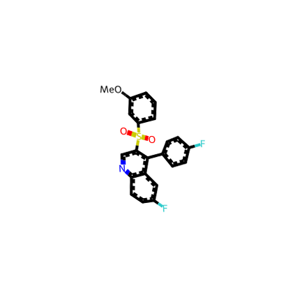 COc1cccc(S(=O)(=O)c2cnc3ccc(F)cc3c2-c2ccc(F)cc2)c1